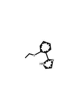 CCSc1ccccc1-c1ncc[nH]1